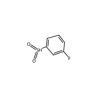 O=[SH](=O)c1cccc(F)c1